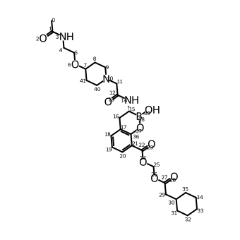 CC(=O)NCCOC1CCN(CC(=O)N[C@H]2Cc3cccc(C(=O)OCOC(=O)CC4CCCCC4)c3OB2O)CC1